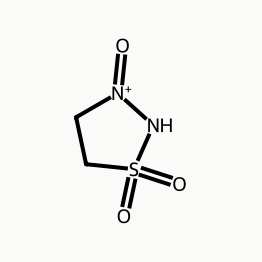 O=[N+]1CCS(=O)(=O)N1